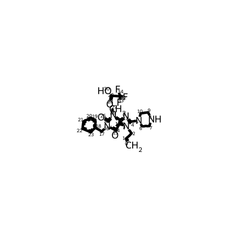 C=CCn1c(N2CCNCC2)nc2c1c(=O)n(Cc1ccccc1)c(=O)n2C.O=C(O)C(F)(F)F